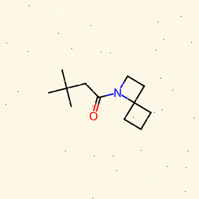 CC(C)(C)CC(=O)N1CCC12CCC2